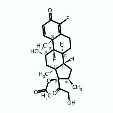 CC(=O)O[C@]1(C(=O)CO)[C@H](C)C[C@H]2[C@@H]3CCC4=C(F)C(=O)C=C[C@]4(C)[C@@]3(F)[C@@H](O)C[C@@]21C